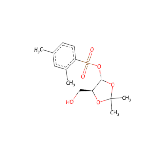 Cc1ccc(S(=O)(=O)O[C@@H]2OC(C)(C)O[C@H]2CO)c(C)c1